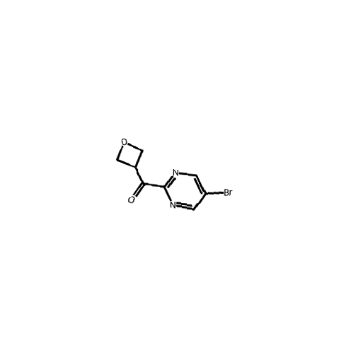 O=C(c1ncc(Br)cn1)C1COC1